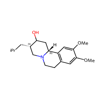 COc1cc2c(cc1OC)[C@H]1CC(O)[C@@H](CC(C)C)CN1CC2